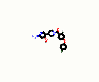 COc1cc(N)ncc1C1CCN(C(=O)c2ccc(Oc3ccc(F)cc3)cc2F)CC1